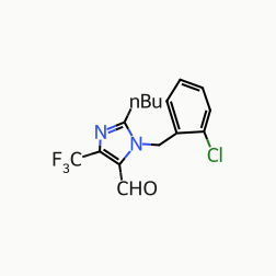 CCCCc1nc(C(F)(F)F)c(C=O)n1Cc1ccccc1Cl